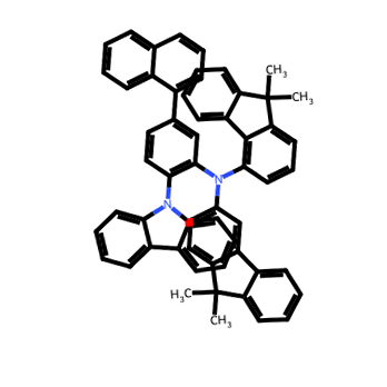 CC1(C)c2ccccc2-c2cc(N(c3cc(-c4cccc5ccccc45)ccc3-n3c4ccccc4c4ccccc43)c3cccc4c3-c3ccccc3C4(C)C)ccc21